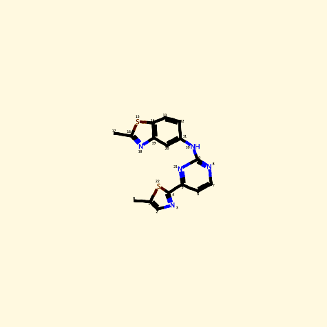 Cc1cnc(-c2ccnc(Nc3ccc4sc(C)nc4c3)n2)s1